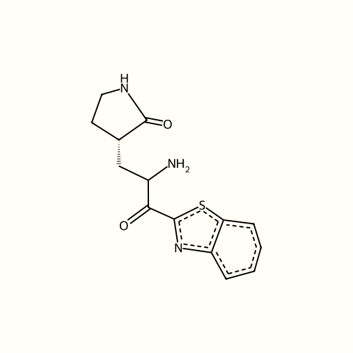 NC(C[C@@H]1CCNC1=O)C(=O)c1nc2ccccc2s1